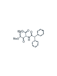 COC(=O)C(=O)C(NC(=O)C(c1ccccc1)c1ccccc1)C(=O)OC